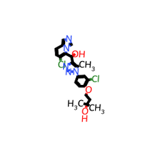 Cc1c(C(O)c2c(Cl)ccc3cncn23)nnn1-c1ccc(OCCC(C)(C)O)c(Cl)c1